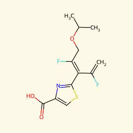 C=C(F)C(=C(F)COC(C)C)c1nc(C(=O)O)cs1